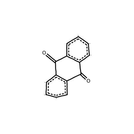 O=C1c2[c][c][c]cc2C(=O)c2[c][c][c]cc21